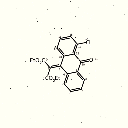 CCOC(=O)C(C(=O)OCC)=C1c2ccccc2C(=O)c2c(Cl)cccc21